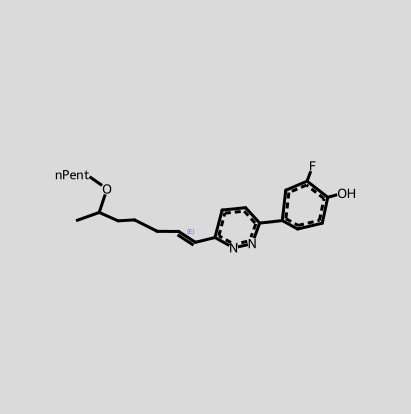 CCCCCOC(C)CCC/C=C/c1ccc(-c2ccc(O)c(F)c2)nn1